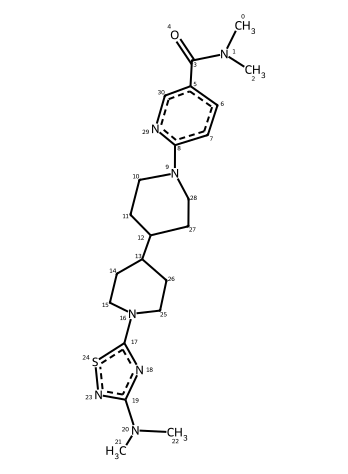 CN(C)C(=O)c1ccc(N2CCC(C3CCN(c4nc(N(C)C)ns4)CC3)CC2)nc1